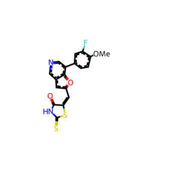 COc1ccc(-c2cncc3cc(C=C4SC(=S)NC4=O)oc23)cc1F